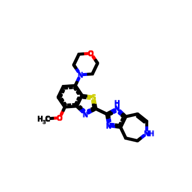 COc1ccc(N2CCOCC2)c2sc(-c3nc4c([nH]3)C=CNCC4)nc12